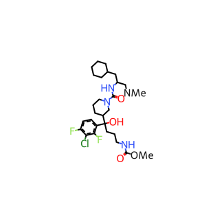 CNCC(CC1CCCCC1)NC(=O)N1CCCC(C(O)(CCCNC(=O)OC)c2ccc(F)c(Cl)c2F)C1